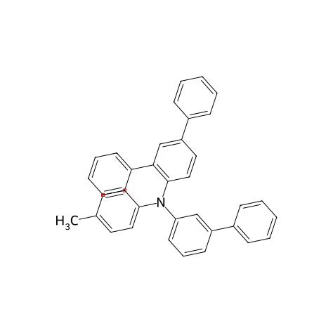 Cc1ccc(N(c2cccc(-c3ccccc3)c2)c2ccc(-c3ccccc3)cc2-c2ccccc2)cc1